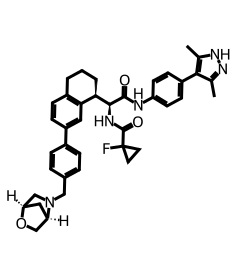 Cc1n[nH]c(C)c1-c1ccc(NC(=O)[C@@H](NC(=O)C2(F)CC2)[C@@H]2CCCc3ccc(-c4ccc(CN5C[C@H]6C[C@@H]5CO6)cc4)cc32)cc1